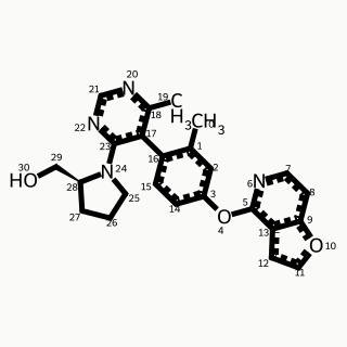 Cc1cc(Oc2nccc3occc23)ccc1-c1c(C)ncnc1N1CCC[C@H]1CO